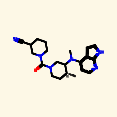 C[C@@H]1CCN(C(=O)N2CCCC(C#N)C2)CC1N(C)c1ccnc2[nH]ccc12